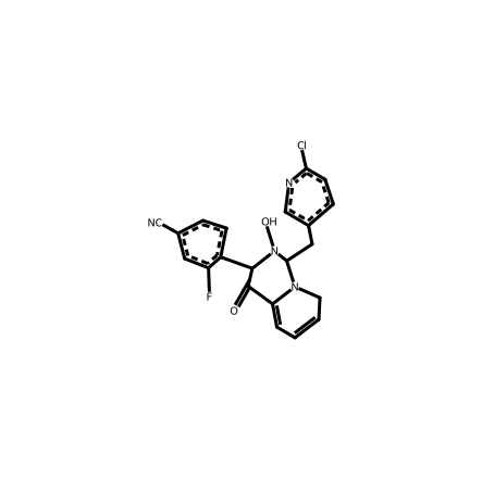 N#Cc1ccc(C2C(=O)C3=CC=CCN3C(Cc3ccc(Cl)nc3)N2O)c(F)c1